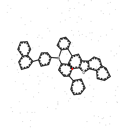 c1ccc(-c2ccc(N(c3ccc(-c4cccc5ccccc45)cc3)c3ccccc3-c3ccc4oc5c6ccccc6ccc5c4c3)cc2)cc1